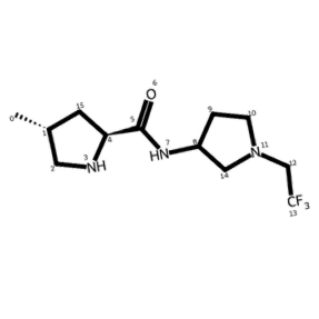 C[C@H]1CN[C@H](C(=O)NC2CCN(CC(F)(F)F)C2)C1